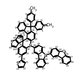 Cc1ccc(C2(c3ccc(C)cc3)c3ccccc3-c3c2ccc2c3C3(c4ccc(-c5cccs5)cc4N2c2ccc4c(c2)c2ccccc2n4-c2ccc4oc5ccccc5c4c2)c2ccsc2-c2sccc23)cc1